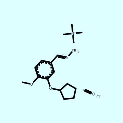 COc1ccc(/C=N/N)cc1OC1CCCC1.C[N+](C)(C)C.[C]=O.[Cl-]